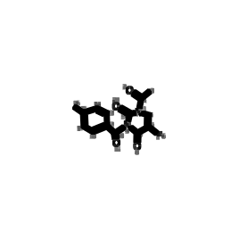 CC(=O)n1cc(F)c(=O)n(C(=O)c2ccc(C)cc2)c1=O